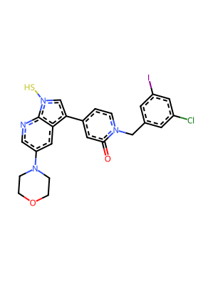 O=c1cc(-c2cn(S)c3ncc(N4CCOCC4)cc23)ccn1Cc1cc(Cl)cc(I)c1